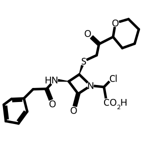 O=C(Cc1ccccc1)N[C@@H]1C(=O)N(C(Cl)C(=O)O)[C@@H]1SCC(=O)C1CCCCO1